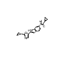 O=C(Nc1cc2[nH]c(-c3cnc(C4CC4)o3)cc2cn1)C1CC1